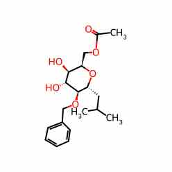 CC(=O)OC[C@H]1O[C@H](CC(C)C)[C@@H](OCc2ccccc2)[C@H](O)[C@H]1O